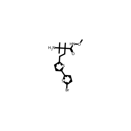 CONC(=O)C(C)(CCc1ccc(-c2ccc(Br)s2)s1)C(C)(C)N